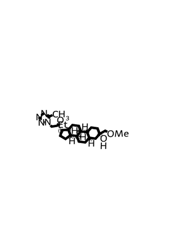 CC[C@]12CC[C@H]3[C@@H](CC[C@H]4C[C@@](O)(COC)CC[C@@H]43)[C@@H]1CC[C@@H]2C(=O)Cn1nnnc1C